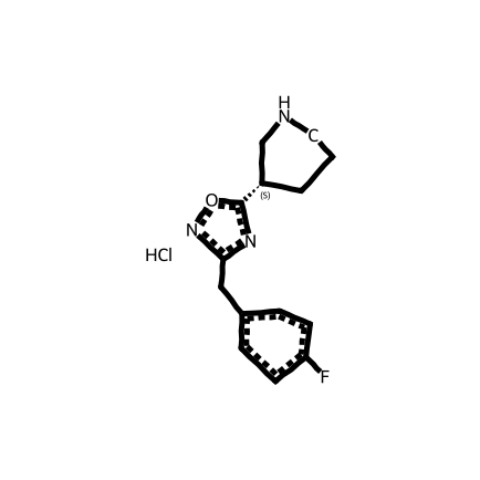 Cl.Fc1ccc(Cc2noc([C@H]3CCCNC3)n2)cc1